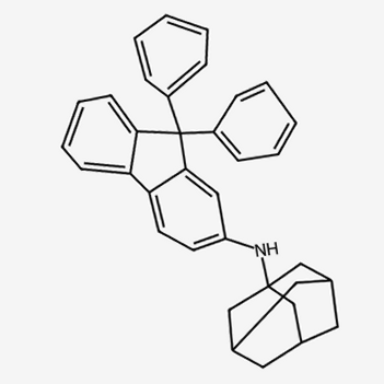 c1ccc(C2(c3ccccc3)c3ccccc3-c3ccc(NC45CC6CC(CC(C6)C4)C5)cc32)cc1